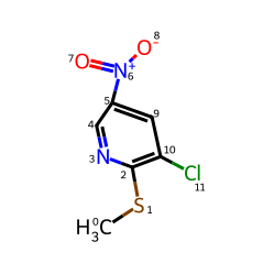 CSc1ncc([N+](=O)[O-])cc1Cl